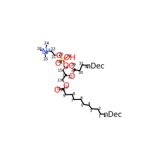 CCCCCCCCCCCCCCCCCCCC(=O)OCC(COP(=O)(O)OCC[N+](C)(C)C)OC(=O)CCCCCCCCCCCC